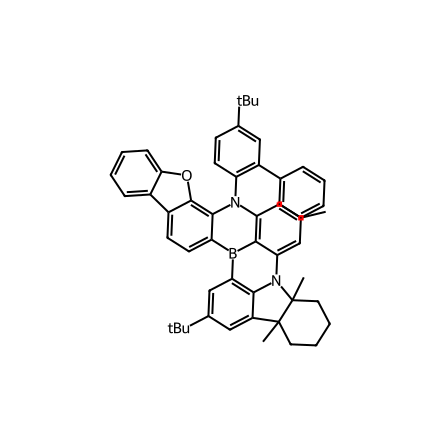 Cc1cc2c3c(c1)N1c4c(cc(C(C)(C)C)cc4C4(C)CCCCC14C)B3c1ccc3c(oc4ccccc43)c1N2c1ccc(C(C)(C)C)cc1-c1ccccc1